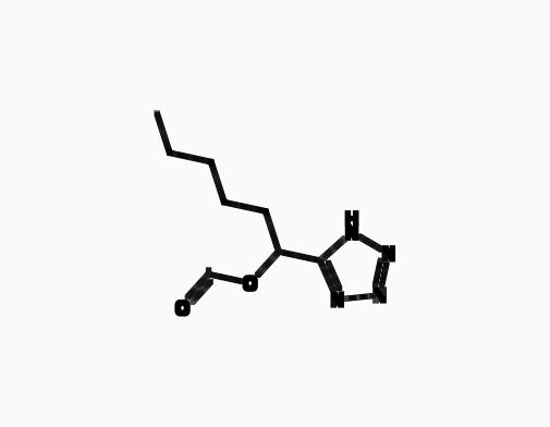 CCCCCC(O[C]=O)c1nnn[nH]1